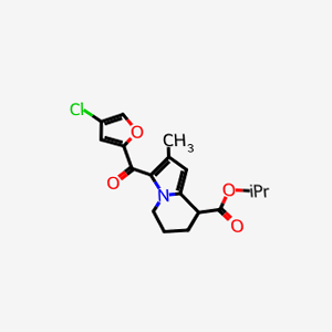 Cc1cc2n(c1C(=O)c1cc(Cl)co1)CCCC2C(=O)OC(C)C